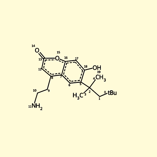 CC(C)(C)CC(C)(C)c1cc2c(CCN)cc(=O)oc2cc1O